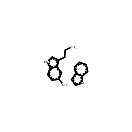 NCCc1c[nH]c2ccc(O)cc12.c1ccc2[nH]ccc2c1